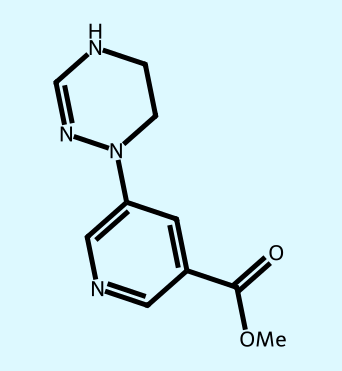 COC(=O)c1cncc(N2CCNC=N2)c1